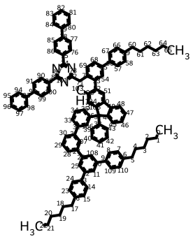 CCCCCCc1ccc(-c2cc(-c3ccc(CCCCCC)cc3)cc(-c3cccc(-c4cccc(C5(c6ccccc6)c6ccccc6-c6cc(-c7cc(-c8ccc(CCCCCC)cc8)ccc7Cc7nc(-c8ccc(-c9ccccc9)cc8)nc(-c8ccc(-c9ccccc9)cc8)n7)c(C)cc65)c4)c3)c2)cc1